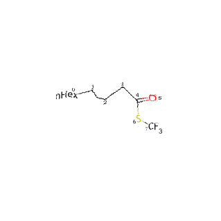 CCCCCCCCCC(=O)SC(F)(F)F